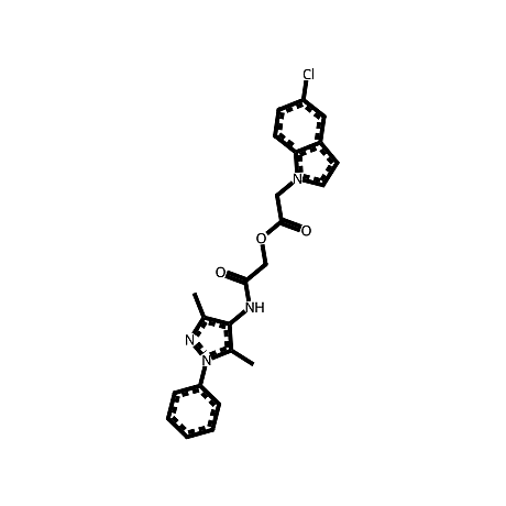 Cc1nn(-c2ccccc2)c(C)c1NC(=O)COC(=O)Cn1ccc2cc(Cl)ccc21